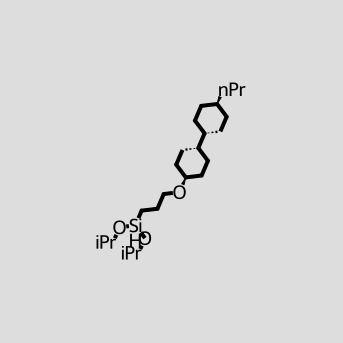 CCC[C@H]1CC[C@H]([C@H]2CC[C@H](OCCC[SiH](OC(C)C)OC(C)C)CC2)CC1